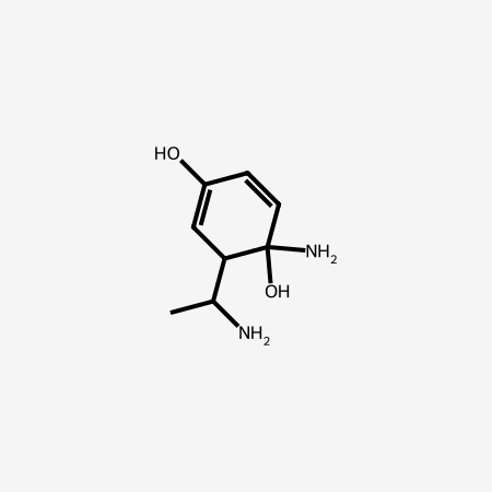 CC(N)C1C=C(O)C=CC1(N)O